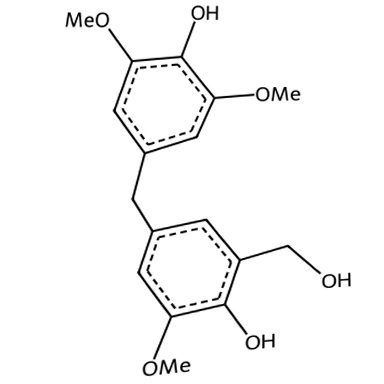 COc1cc(Cc2cc(OC)c(O)c(OC)c2)cc(CO)c1O